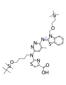 Cc1cc(N(CCCCO[Si](C)(C)C(C)(C)C)c2nc(C(=O)O)cs2)nnc1/N=c1\sc2ccccc2n1COCC[Si](C)(C)C